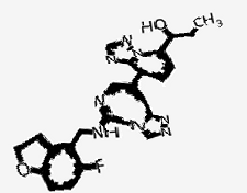 CCC(O)c1ccc(-c2cnc(NCc3c(F)ccc4c3CCO4)n3cnnc23)c2ncnn12